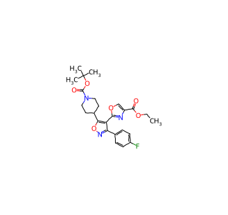 CCOC(=O)c1coc(-c2c(-c3ccc(F)cc3)noc2C2CCN(C(=O)OC(C)(C)C)CC2)n1